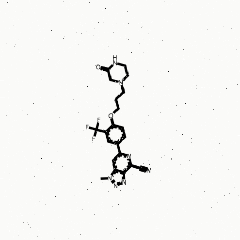 Cn1nnc2c(C#N)nc(-c3ccc(OCCCN4CCNC(=O)C4)c(C(F)(F)F)c3)cc21